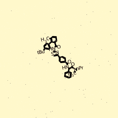 CCCN(C)C(=O)[C@@H](NC(=O)c1ccc(-c2csc(NC(=O)c3cccc(C)c3-c3ccc(C(C)(C)C)cc3)n2)cc1)c1ccccc1